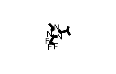 Cc1nc(C(C)C)nc(C(F)(F)F)n1